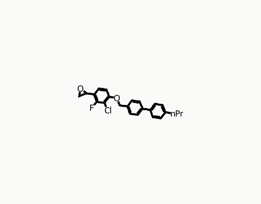 CCCc1ccc(-c2ccc(COc3ccc(C4CO4)c(F)c3Cl)cc2)cc1